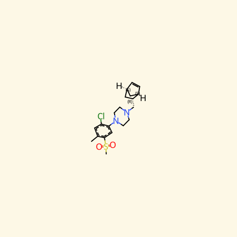 Cc1cc(Cl)c(N2CCN(C[C@@H]3C[C@H]4C=C[C@@H]3C4)CC2)cc1S(C)(=O)=O